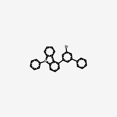 Brc1cc(-c2ccccc2)cc(-c2cccc3c2c2ccccc2n3-c2ccccc2)c1